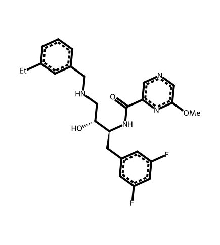 CCc1cccc(CNC[C@@H](O)[C@H](Cc2cc(F)cc(F)c2)NC(=O)c2cncc(OC)n2)c1